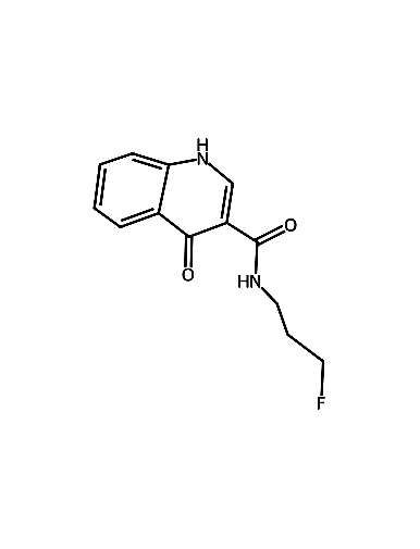 O=C(NCCCF)c1c[nH]c2ccccc2c1=O